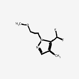 COCCn1ncc(C)c1C(F)F